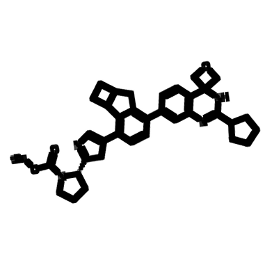 CC(C)(C)OC(=O)N1CCC[C@H]1C1=NC=C(c2ccc(-c3ccc4c(c3)N=C(C3CCCC3)NC43COC3)c3c2C2CCC2C3)C1